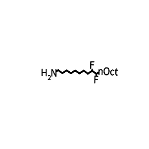 CCCCCCCCC(F)C(F)CCCCCCCCN